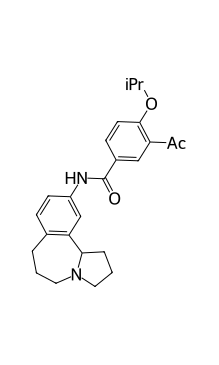 CC(=O)c1cc(C(=O)Nc2ccc3c(c2)C2CCCN2CCC3)ccc1OC(C)C